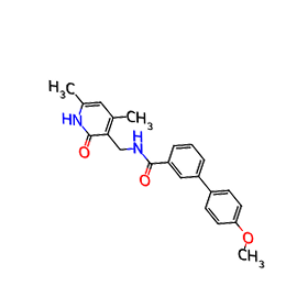 COc1ccc(-c2cccc(C(=O)NCc3c(C)cc(C)[nH]c3=O)c2)cc1